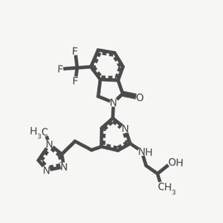 CC(O)CNc1cc(CCc2nncn2C)cc(N2Cc3c(cccc3C(F)(F)F)C2=O)n1